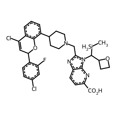 C[SiH2]C(C1CCO1)n1c(CN2CCC(c3cccc4c3OC(c3ccc(Cl)cc3F)C=C4Cl)CC2)nc2ccc(C(=O)O)nc21